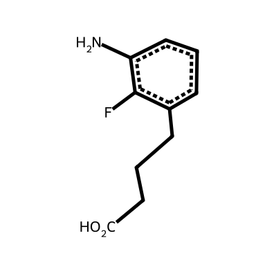 Nc1cccc(CCCC(=O)O)c1F